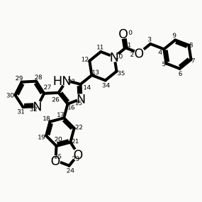 O=C(OCc1ccccc1)N1CCC(c2nc(-c3ccc4c(c3)OCO4)c(-c3ccccn3)[nH]2)CC1